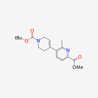 COC(=O)c1ccc(C2=CCN(C(=O)OC(C)(C)C)CC2)c(C)n1